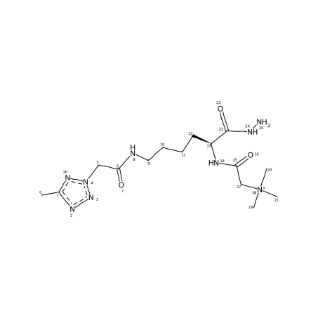 Cc1nnn(CC(=O)NCCCC[C@H](NC(=O)C[N+](C)(C)C)C(=O)NN)n1